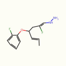 C/C=C/C(C/C(F)=C/NN)Oc1ccccc1F